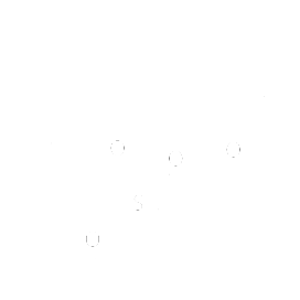 C1CCOOC1.C1COSO1